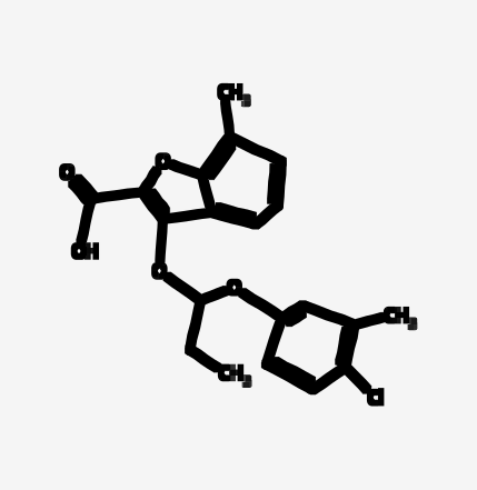 CCC(Oc1ccc(Cl)c(C)c1)Oc1c(C(=O)O)oc2c(C)cccc12